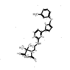 Cc1cccc(Sc2ccc(-c3ccnc(NCCN4C(=O)NC(=O)C4(C)C)n3)s2)c1